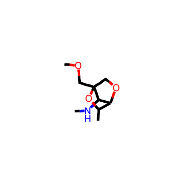 CNC1C2OCC1(COC)OC2C